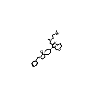 CNCCN(C)Cc1nn2c(c1[C@H]1CC[C@]3(CCN(Cc4ccccc4)C3=O)CC1)COCC2